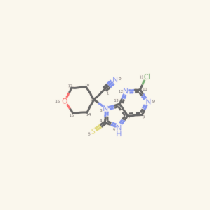 N#CC1(n2c(=S)[nH]c3cnc(Cl)nc32)CCOCC1